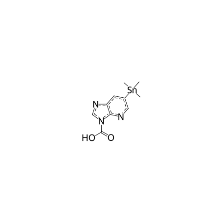 [CH3][Sn]([CH3])([CH3])[c]1cnc2c(c1)ncn2C(=O)O